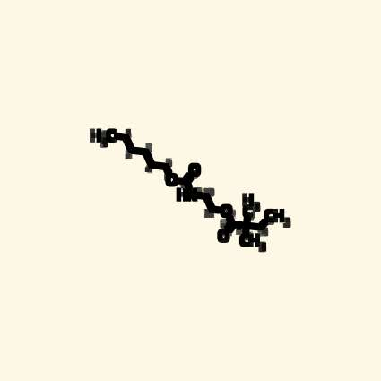 CCCCCCOC(=O)NCCOC(=O)C(C)(C)CC